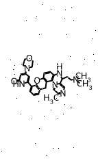 Cc1cnc(C(CCN(C)C)Nc2ccc3c(c2)Cc2cccc(-c4cc(N5CCOCC5)cc(=O)[nH]4)c2O3)cn1